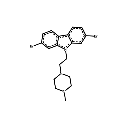 CN1CCN(CCn2c3cc(Br)ccc3c3ccc(Br)cc32)CC1